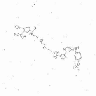 O=C(NCCOCCOCCNC(=O)c1ccc(Cl)c(B(O)O)c1)c1cccc(-c2cc(Nc3ccc(OC(F)(F)F)cc3)ncn2)c1